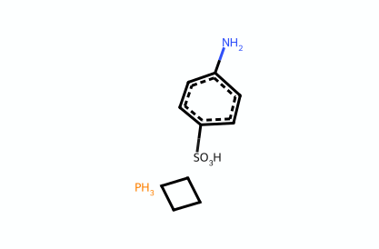 C1CCC1.Nc1ccc(S(=O)(=O)O)cc1.P